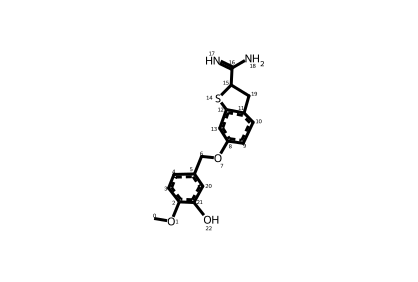 COc1ccc(COc2ccc3c(c2)SC(C(=N)N)C3)cc1O